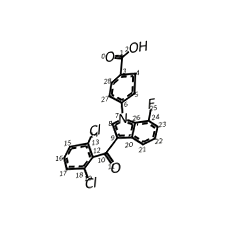 O=C(O)c1ccc(-n2cc(C(=O)c3c(Cl)cccc3Cl)c3cccc(F)c32)cc1